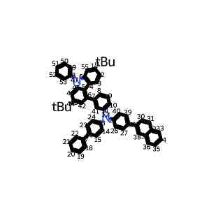 CC(C)(C)c1ccc2c3c(-c4cccc(N(c5ccc(C6=C=C=CC=C6)cc5)c5ccc(-c6ccc7ccccc7c6)cc5)c4)cc(C(C)(C)C)cc3n(-c3ccccc3)c2c1